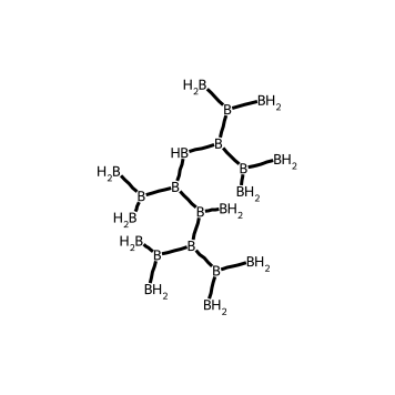 BB(B)B(BB(B(B)B)B(B)B(B(B)B)B(B)B)B(B)B